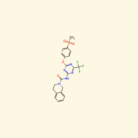 CS(=O)(=O)c1ccc(Oc2nc(NC(=O)N3CCc4ccccc4C3)nc(C(F)(F)F)n2)cc1